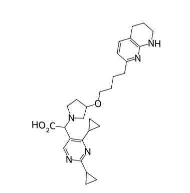 O=C(O)C(c1cnc(C2CC2)nc1C1CC1)N1CCC(OCCCCc2ccc3c(n2)NCCC3)C1